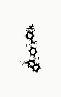 O=C(NC1CCC(Nc2cc(C(F)(F)F)nc3ccccc23)CC1)c1ccc2c(c1)OC(F)(F)O2